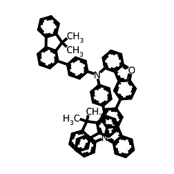 CC1(C)c2ccccc2-c2cccc(-c3ccc(N(c4ccc(-c5cccc6c5C(C)(C)c5ccccc5-6)cc4)c4cccc5oc6ccc(-c7ccc8c(c7)c7ccccc7n8-c7ccccc7)cc6c45)cc3)c21